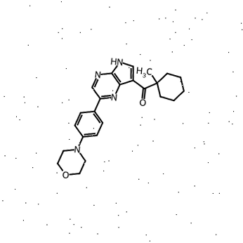 CC1(C(=O)c2c[nH]c3ncc(-c4ccc(N5CCOCC5)cc4)nc23)CCCCC1